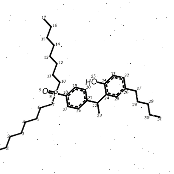 CCCCCCCCP(=O)(CCCCCCCC)c1ccc(C(C)c2cc(CCCCC)ccc2O)cc1